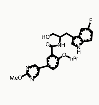 CCCOc1ccc(-c2cnc(OC)nc2)cc1C(=O)NC(CO)Cc1c[nH]c2ccc(F)cc12